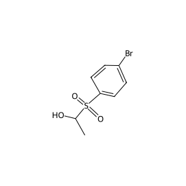 CC(O)S(=O)(=O)c1ccc(Br)cc1